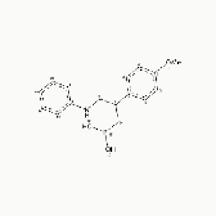 COc1ccc(C(CNc2ccccc2)CP(O)O)cc1